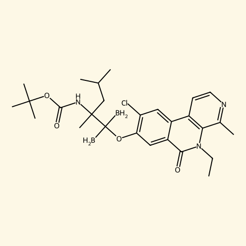 BC(B)(Oc1cc2c(=O)n(CC)c3c(C)nccc3c2cc1Cl)C(C)(CC(C)C)NC(=O)OC(C)(C)C